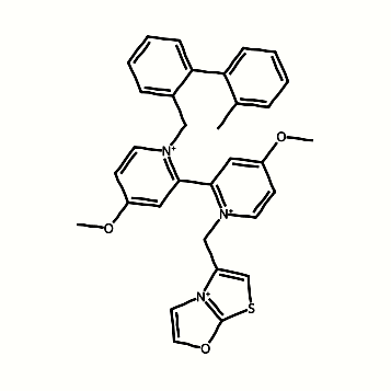 COc1cc[n+](Cc2ccccc2-c2ccccc2C)c(-c2cc(OC)cc[n+]2Cc2csc3occ[n+]23)c1